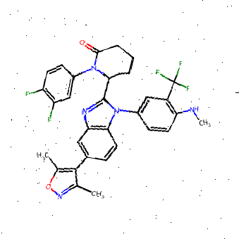 CNc1ccc(-n2c(C3CCCC(=O)N3c3ccc(F)c(F)c3)nc3cc(-c4c(C)noc4C)ccc32)cc1C(F)(F)F